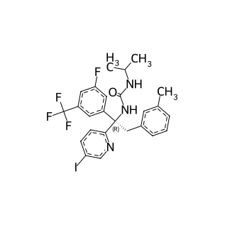 Cc1cccc(C[C@@](NC(=O)NC(C)C)(c2cc(F)cc(C(F)(F)F)c2)c2ccc(I)cn2)c1